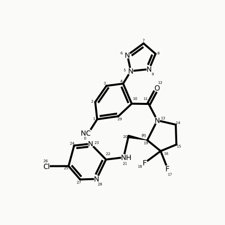 N#Cc1ccc(-n2nccn2)c(C(=O)N2CCC(F)(F)[C@H]2CNc2ncc(Cl)cn2)c1